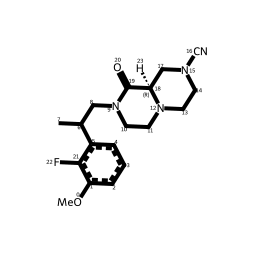 COc1cccc(C(C)CN2CCN3CCN(C#N)C[C@@H]3C2=O)c1F